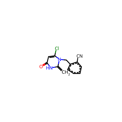 C=C1NC(=O)C=C(Cl)N1Cc1ccccc1C#N